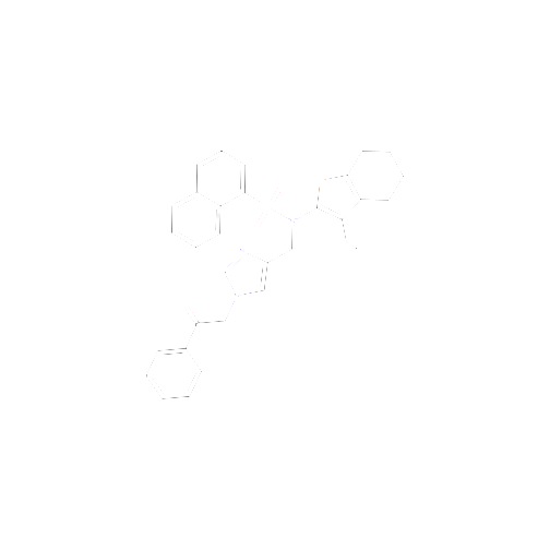 N#Cc1c(N(Cc2cn(CC(=O)c3ccccc3)nn2)S(=O)(=O)c2cccc3ccccc23)sc2c1CCCC2